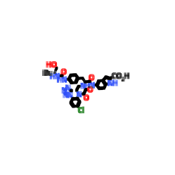 CC[C@H](C)[C@@H](CO)NC(=O)Nc1ccc(C[C@@H](C(=O)Nc2ccc3[nH]c(C(=O)O)cc3c2)N2CCN(c3cc(Cl)ccc3-n3cnnn3)C(=O)C2=O)cc1